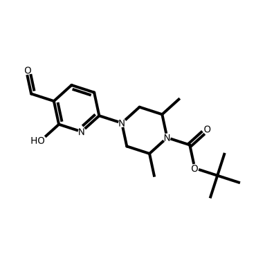 CC1CN(c2ccc(C=O)c(O)n2)CC(C)N1C(=O)OC(C)(C)C